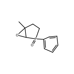 CC12CCP(=O)(c3ccccc3)C1O2